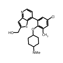 CNC1CCC(Oc2c(C)cc(Cl)cc2-c2ccnc3cc(CO)sc23)CC1